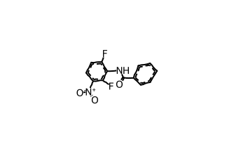 O=C(Nc1c(F)ccc([N+](=O)[O-])c1F)c1ccccc1